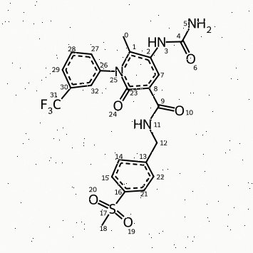 Cc1c(NC(N)=O)cc(C(=O)NCc2ccc(S(C)(=O)=O)cc2)c(=O)n1-c1cccc(C(F)(F)F)c1